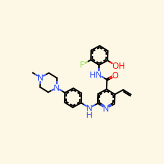 C=Cc1cnc(Nc2ccc(N3CCN(C)CC3)cc2)cc1C(=O)Nc1c(O)cccc1F